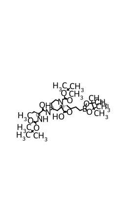 CC[C@H](NC(=O)OC(C)(C)C)C(=O)N[C@H]1CCN(C(=O)OC(C)(C)C)[C@@](CCCCB2OC(C)(C)C(C)(C)O2)(C(=O)O)C1